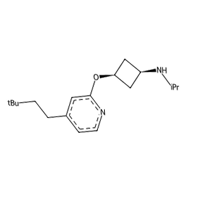 CC(C)N[C@H]1C[C@@H](Oc2cc(CCC(C)(C)C)ccn2)C1